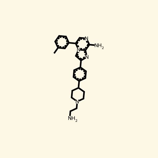 Cc1cccc(-c2cnc(N)c3nc(-c4ccc(C5CCN(CCN)CC5)cc4)cn23)c1